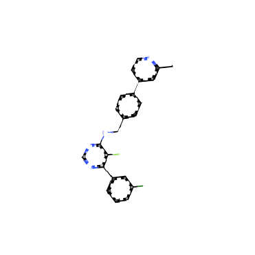 Cc1cc(-c2ccc(CNc3ncnc(-c4cccc(Cl)c4)c3F)cc2)ccn1